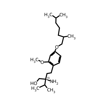 COc1cc(OCC(C)CCCC(C)C)ccc1CC[C@@](N)(CO)C(C)C